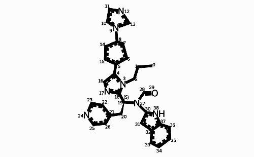 CCCn1c(-c2ccc(-n3ccnc3)cc2)cnc1[C@H](Cc1ccncc1)N(C=O)c1cc2ccccc2[nH]1